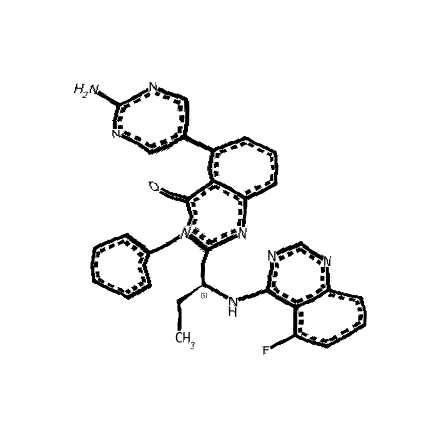 CC[C@H](Nc1ncnc2cccc(F)c12)c1nc2cccc(-c3cnc(N)nc3)c2c(=O)n1-c1ccccc1